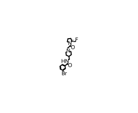 O=C(NCC1CCN(CC(=O)N2CCC[C@H]2CF)CC1)c1cccc(Br)c1